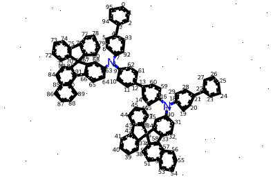 c1ccc(-c2ccc(N(c3ccc(-c4ccc(N(c5ccc(-c6ccccc6)cc5)c5ccc6c(c5)C5(c7ccccc7-c7ccccc75)c5ccc7ccccc7c5-6)cc4)cc3)c3ccc4c(c3)C3(c5ccccc5-c5ccccc53)c3ccc5ccccc5c3-4)cc2)cc1